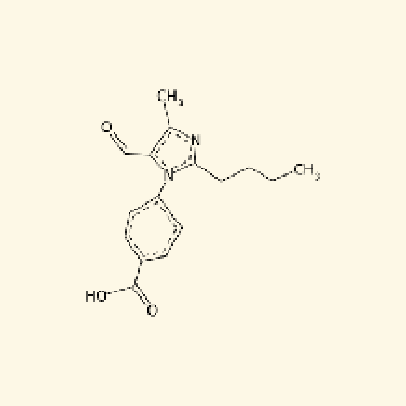 CCCCc1nc(C)c(C=O)n1-c1ccc(C(=O)O)cc1